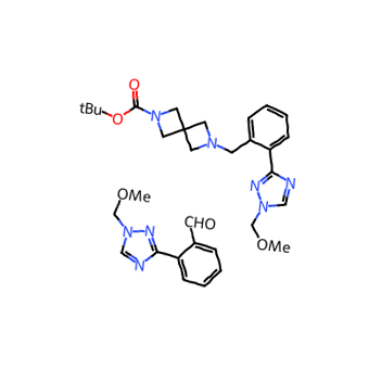 COCn1cnc(-c2ccccc2C=O)n1.COCn1cnc(-c2ccccc2CN2CC3(C2)CN(C(=O)OC(C)(C)C)C3)n1